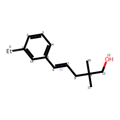 CCc1cccc(/C=C/CC(C)(C)CO)c1